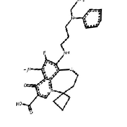 CCN(CCCNc1c(F)c(N)c2c(=O)c(C(=O)O)cn3c2c1OCCC31CCC1)c1ccccc1